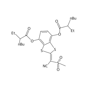 CCCCC(CC)C(=O)Oc1ccc(OC(=O)C(CC)CCCC)c2c1SC(=C(C#N)S(C)(=O)=O)S2